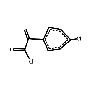 C=C(C(=O)Cl)c1ccc(Cl)cc1